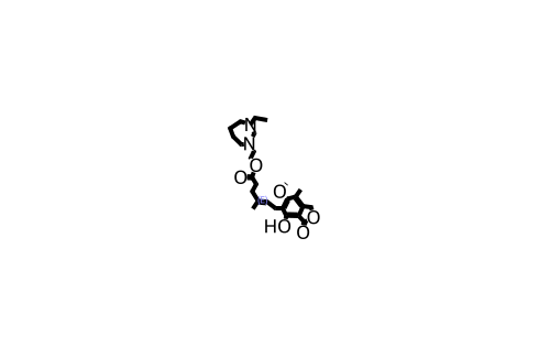 CCN1CCCCN(CCOC(=O)CC/C(C)=C/Cc2c(O)c3c(c(C)c2OC)COC3=O)C1